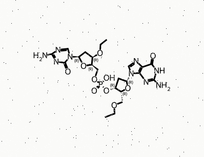 CCOC[C@H]1O[C@@H](n2cnc3c(=O)[nH]c(N)nc32)C[C@H]1OP(=O)(O)OC[C@H]1O[C@@H](n2cnc(N)nc2=O)C[C@H]1OCC